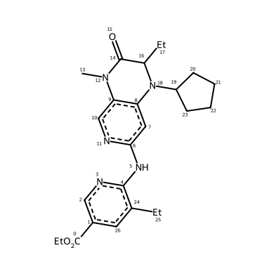 CCOC(=O)c1cnc(Nc2cc3c(cn2)N(C)C(=O)C(CC)N3C2CCCC2)c(CC)c1